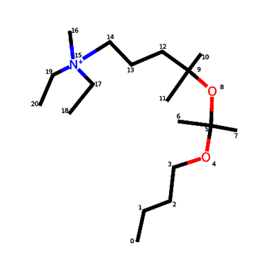 CCCCOC(C)(C)OC(C)(C)CCC[N+](C)(CC)CC